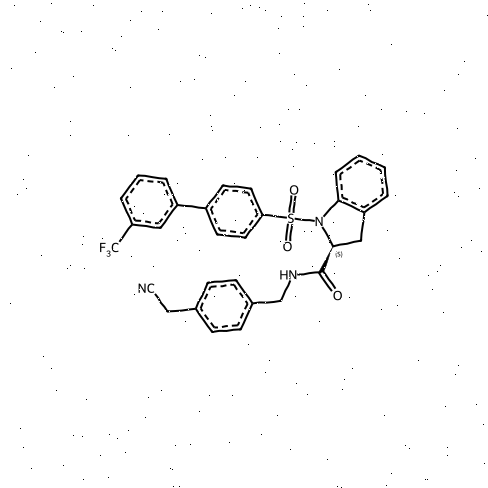 N#CCc1ccc(CNC(=O)[C@@H]2Cc3ccccc3N2S(=O)(=O)c2ccc(-c3cccc(C(F)(F)F)c3)cc2)cc1